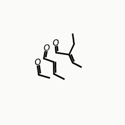 C/C=C(/C=O)CC.C/C=C/C=O.CC=O